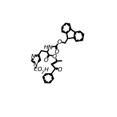 CC(=CC(=O)c1ccccc1)OC(=O)C(Cc1cn(C(=O)O)cn1)NC(=O)OCC1c2ccccc2-c2ccccc21